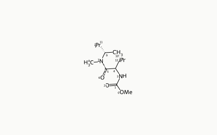 COC(=O)NC(C(=O)N(C)[C@@H](C)C(C)C)C(C)C